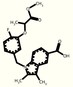 COC(=O)C(C)Oc1cc(Cn2c(C)c(C)c3cc(C(=O)O)ccc32)ccc1F